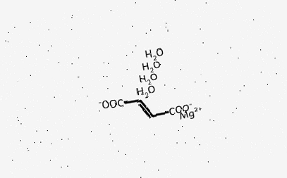 O.O.O.O.O=C([O-])/C=C/C(=O)[O-].[Mg+2]